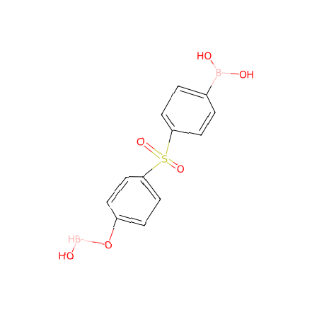 O=S(=O)(c1ccc(OBO)cc1)c1ccc(B(O)O)cc1